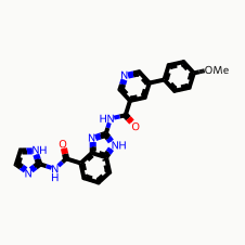 COc1ccc(-c2cncc(C(=O)Nc3nc4c(C(=O)Nc5ncc[nH]5)cccc4[nH]3)c2)cc1